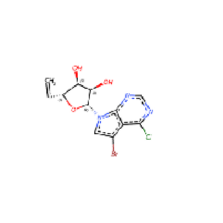 C=C[C@H]1O[C@@H](n2cc(Br)c3c(Cl)ncnc32)[C@H](O)[C@@H]1O